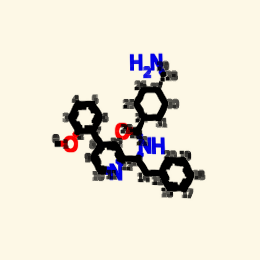 COc1ccccc1-c1ccnc(C(Cc2ccccc2)NC(=O)[C@H]2CC[C@H](CN)CC2)c1